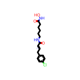 O=C(/C=C/Cc1ccc(Cl)cc1)NCCCCCC(=O)NO